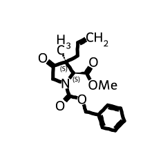 C=CC[C@]1(C)C(=O)CN(C(=O)OCc2ccccc2)[C@@H]1C(=O)OC